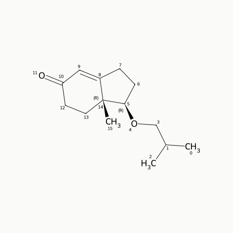 CC(C)CO[C@@H]1CCC2=CC(=O)CC[C@]21C